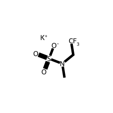 CN(CC(F)(F)F)S(=O)(=O)[O-].[K+]